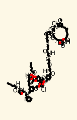 CCCCCC(=O)Nc1cccc(CN(Cc2cc(CN(Cc3ccccn3)Cc3cccc(NC(=O)CCCCC)n3)cc(OCCCCN(Cc3ccc(C(=O)NCCOCCOCCNC(=O)CCSSCCC(=O)N(C)[C@H](C)C(=O)O[C@H]4CC(=O)N(C)c5cc(cc(OC)c5Cl)C/C(C)=C/C=C\[C@H](OC)[C@]5(O)C[C@@H](OC(=O)N5)[C@H](C)C5O[C@@]54C)cc3)C(=O)C3(c4ccc(Cl)cc4)CCCCC3)c2)Cc2ccccn2)n1